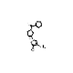 Nc1cn([C@H]2CCN(C(=O)C3CCCC3)C2)nc1Cl